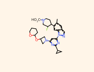 Cc1cc2cnn(-c3cc(N4CC(OC5CCCCO5)C4)nc(C4CC4)n3)c2cc1C1CCN(C(=O)O)CC1F